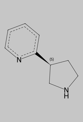 c1ccc([C@H]2CCNC2)nc1